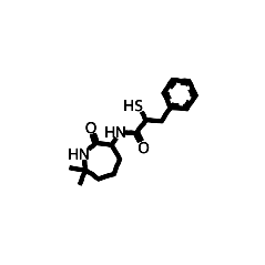 CC1(C)CCCC(NC(=O)C(S)Cc2ccccc2)C(=O)N1